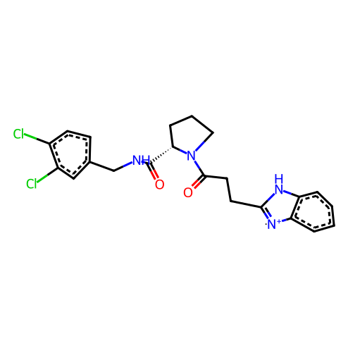 O=C(NCc1ccc(Cl)c(Cl)c1)[C@@H]1CCCN1C(=O)CCC1=[N+]c2ccccc2N1